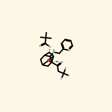 CC(C)(C)C(=O)O[C@H]1C2CC3C[C@@H](C2NCc2ccccn2)C1N(C(=O)CC(F)(F)F)C3